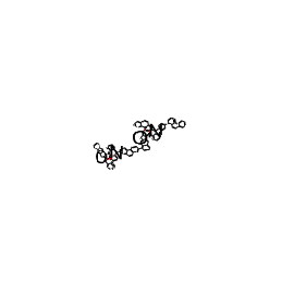 c1ccc(N(c2ccc3c(ccc4ccccc43)c2)c2ccc3c(ccc4cc(-c5cccc6cc7c(cc56)oc5cccc(-c6ccccc6N(c6ccc(-c8cccc9c8ccc8ccccc89)cc6)c6ccc8c(ccc9ccccc98)c6)c57)ccc43)c2)c(-c2cccc3oc4cc5ccccc5cc4c23)c1